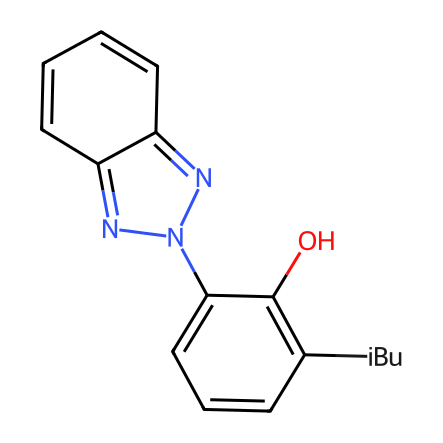 CCC(C)c1cccc(-n2nc3ccccc3n2)c1O